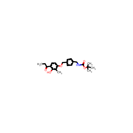 CCC(=O)c1ccc(OCc2ccc(CNC(=O)OC(C)(C)C)cc2)c(C)c1O